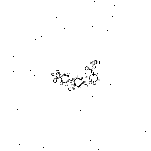 CC(C)(C)OC(=O)N1CCO[C@H](Cc2ccc(-c3ccc(S(C)(=O)=O)cc3)c(Cl)c2)C1